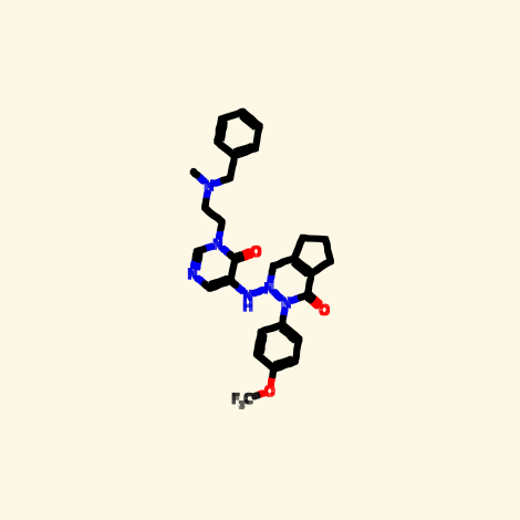 CN(CCn1cncc(NN2CC3=C(CCC3)C(=O)N2c2ccc(OC(F)(F)F)cc2)c1=O)Cc1ccccc1